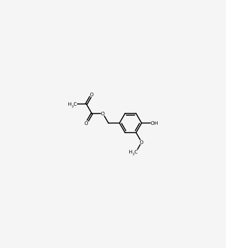 COc1cc(COC(=O)C(C)=O)ccc1O